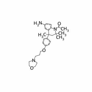 CC(=O)N1c2ccc(N)cc2C(C)(c2ccc(OCCCN3CCOCC3)cc2)CC1(C)C